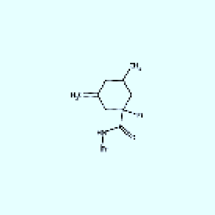 C=C1CC(C)CC(CC)(C(=O)NC(C)C)C1